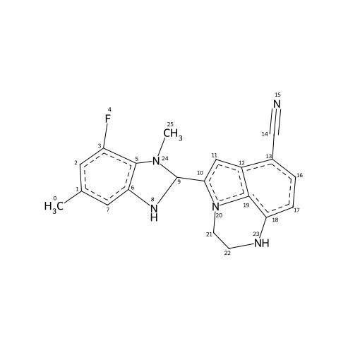 Cc1cc(F)c2c(c1)NC(c1cc3c(C#N)ccc4c3n1CCN4)N2C